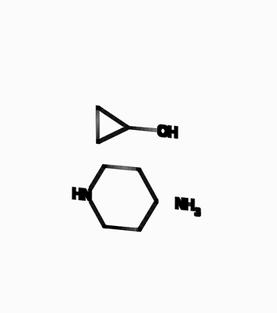 C1CCNCC1.N.OC1CC1